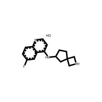 Cl.Fc1ccc2nccc(NC3CCC4(CNC4)C3)c2c1